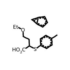 CCOCCC(Sc1ccc(C)cc1)C(=O)O.c1cc2cc-2c1